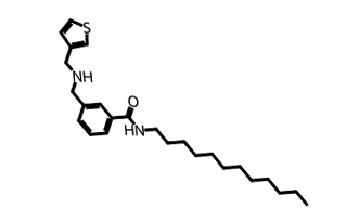 CCCCCCCCCCCCNC(=O)c1cccc(CNCc2ccsc2)c1